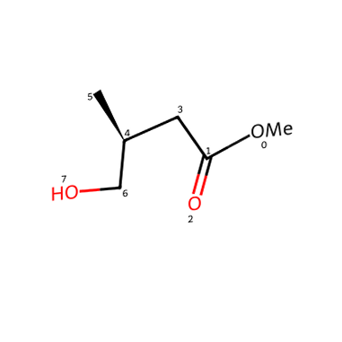 COC(=O)C[C@H](C)CO